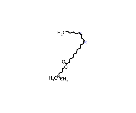 CCCCC/C=C\C/C=C\CCCCCCCCC(=O)OCCCN(C)C